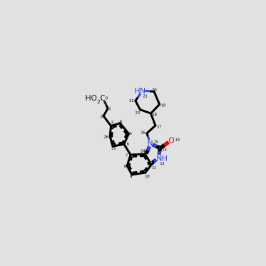 O=C(O)CCc1ccc(-c2cccc3[nH]c(=O)n(CCC4CCNCC4)c23)cc1